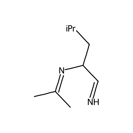 CC(C)=NC(C=N)CC(C)C